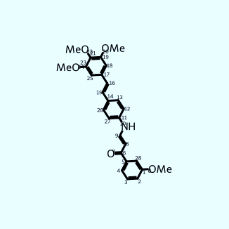 COc1cccc(C(=O)C=CNc2ccc(C=Cc3cc(OC)c(OC)c(OC)c3)cc2)c1